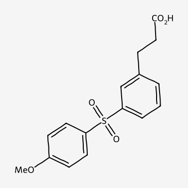 COc1ccc(S(=O)(=O)c2cccc(CCC(=O)O)c2)cc1